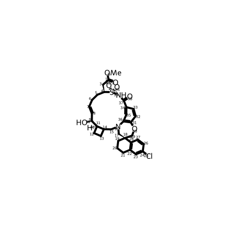 COC(=O)C[C@@H]1CC/C=C/[C@H](O)[C@@H]2CCC2CN2C[C@@]3(CCCc4cc(Cl)ccc43)COc3ccc(cc32)C(=O)NS1(=O)=O